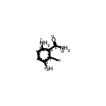 Cc1c(S)ccc(N)c1C(N)=O